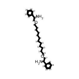 N[C@H](COCCCCCCCCCCCCOC[C@@H](N)c1ccccc1)c1ccccc1